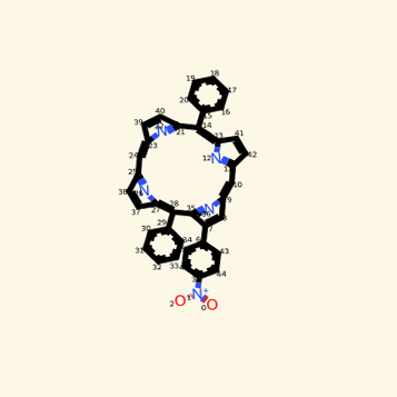 O=[N+]([O-])c1ccc(C2=CC3=CC4=NC(=C(c5ccccc5)C5=NC(=CC6=NC(=C(c7ccccc7)C2=N3)C=C6)C=C5)C=C4)cc1